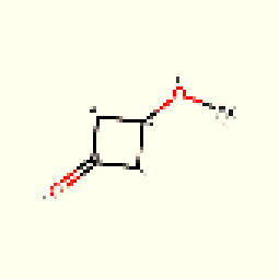 CC(=O)OC1CC(=O)C1